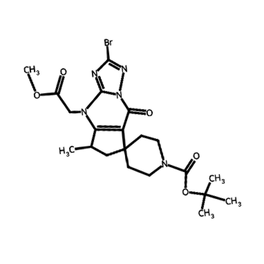 COC(=O)Cn1c2c(c(=O)n3nc(Br)nc13)C1(CCN(C(=O)OC(C)(C)C)CC1)CC2C